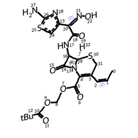 C/C=C\C1=C(C(=O)OCOC(=O)C(C)(C)C)N2C(=O)C(NC(=O)/C(=N\O)c3csc(N)n3)[C@H]2SC1